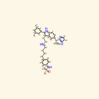 CCCCC(c1ccc2[nH]c(-c3cc(C)cc(C)c3)c(CCNCCCCc3ccc(NS(C)(=O)=O)cc3)c2c1)c1ncc[nH]1